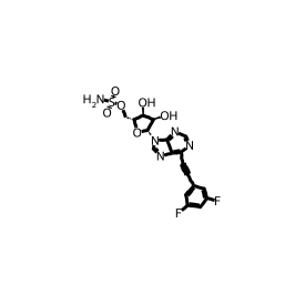 NS(=O)(=O)OC[C@H]1O[C@@H](n2cnc3c(C#Cc4cc(F)cc(F)c4)ncnc32)[C@H](O)[C@@H]1O